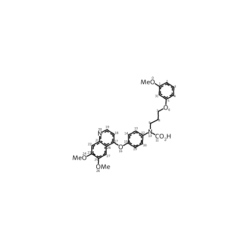 COc1cccc(OCCCN(C(=O)O)c2ccc(Oc3ccnc4cc(OC)c(OC)cc34)cc2)c1